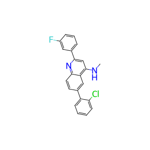 CNc1cc(-c2cccc(F)c2)nc2ccc(-c3ccccc3Cl)cc12